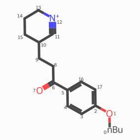 CCCCOc1ccc(C(=O)CCC2C#[N+]CCC2)cc1